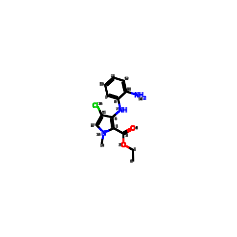 CCOC(=O)c1c(Nc2ccccc2N)c(Cl)cn1C